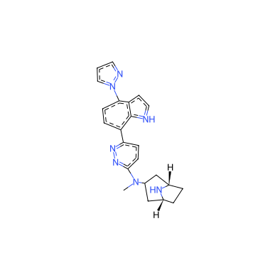 CN(c1ccc(-c2ccc(-n3cccn3)c3cc[nH]c23)nn1)C1C[C@H]2CC[C@@H](C1)N2